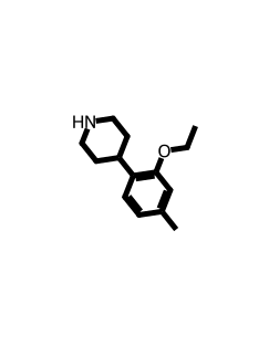 CCOc1cc(C)ccc1C1CCNCC1